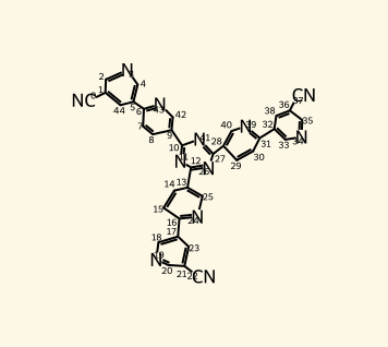 N#Cc1cncc(-c2ccc(-c3nc(-c4ccc(-c5cncc(C#N)c5)nc4)nc(-c4ccc(-c5cncc(C#N)c5)nc4)n3)cn2)c1